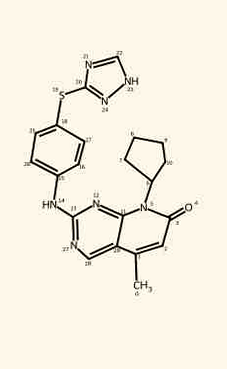 Cc1cc(=O)n(C2CCCC2)c2nc(Nc3ccc(Sc4nc[nH]n4)cc3)ncc12